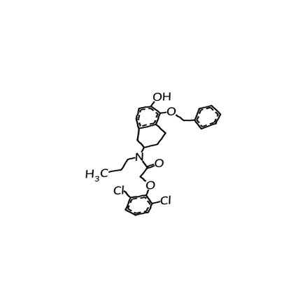 CCCN(C(=O)COc1c(Cl)cccc1Cl)C1CCc2c(ccc(O)c2OCc2ccccc2)C1